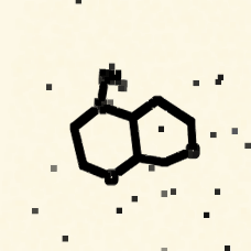 NN1CCOC2COCCC21